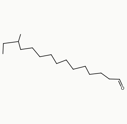 CCC(C)CCCCCCCCCCCC=O